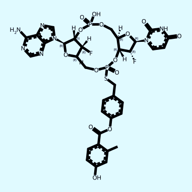 Cc1cc(O)ccc1C(=O)Oc1ccc(CSP2(=O)OC[C@H]3O[C@@H](n4cnc5c(N)ncnc54)[C@H](OP(=O)(O)OC[C@H]4O[C@@H](n5ccc(=O)[nH]c5=O)[C@H](F)[C@@H]4O2)[C@@H]3F)cc1